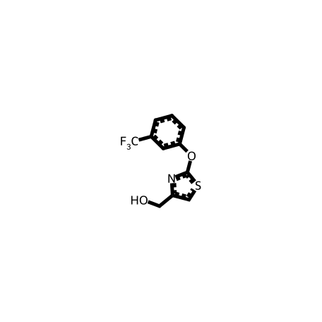 OCc1csc(Oc2cccc(C(F)(F)F)c2)n1